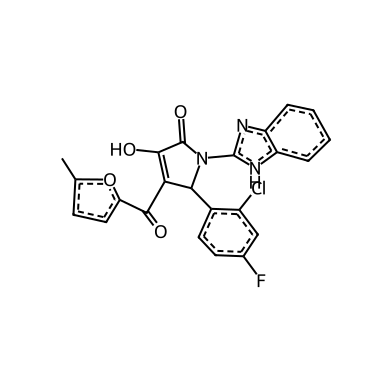 Cc1ccc(C(=O)C2=C(O)C(=O)N(c3nc4ccccc4[nH]3)C2c2ccc(F)cc2Cl)o1